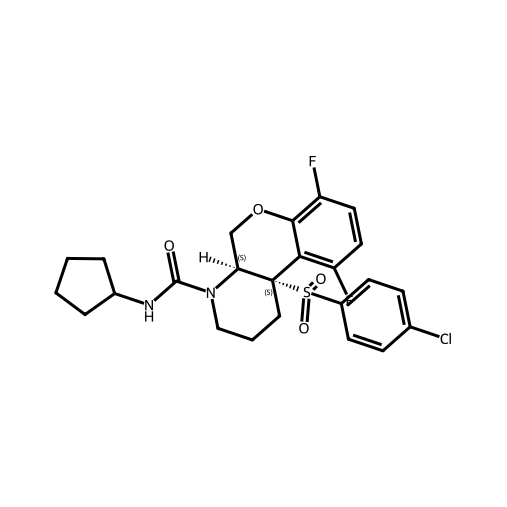 O=C(NC1CCCC1)N1CCC[C@]2(S(=O)(=O)c3ccc(Cl)cc3)c3c(F)ccc(F)c3OC[C@H]12